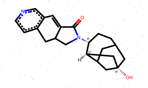 O=C1C2=Cc3cnccc3CC2CN1[C@@H]1CCC2CC3C[C@](O)(C2)C[C@@H]31